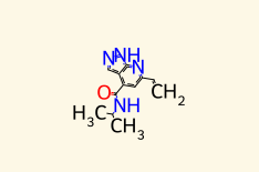 C=Cc1cc(C(=O)NC(C)C)c2cn[nH]c2n1